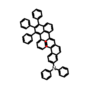 c1ccc(-c2c(-c3ccccc3)c(-c3ccccc3)c3c(-c4ccc5c(ccc6cc(N(c7ccccc7)c7ccccc7)ccc65)c4)cccc3c2-c2ccccc2)cc1